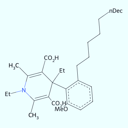 CCCCCCCCCCCCCCCc1cccc(OC)c1C1(CC)C(C(=O)O)=C(C)N(CC)C(C)=C1C(=O)O